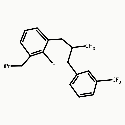 CC(C)Cc1cccc(CC(C)Cc2cccc(C(F)(F)F)c2)c1F